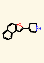 C1=C(c2cc3c(ccc4ccccc43)o2)CCNC1